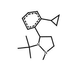 CN1CCC(c2ccccc2C2CC2)N1C(C)(C)C